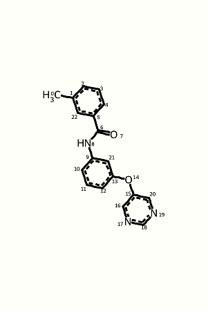 Cc1cccc(C(=O)Nc2cccc(Oc3cncnc3)c2)c1